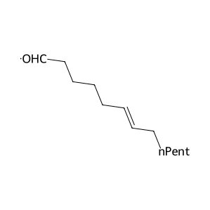 CCCCCC/C=C/CCCC[C]=O